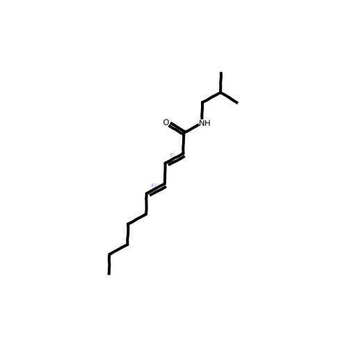 CCCCC/C=C/C=C/C(=O)NCC(C)C